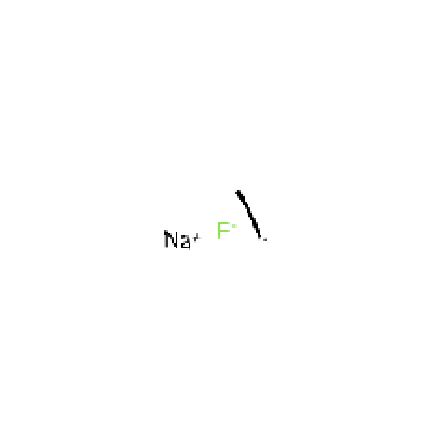 [CH2]C.[F-].[Na+]